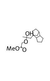 COC(=O)COC(C)(O)CC12CCC(C1)C1CCCC12